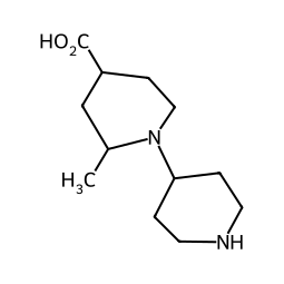 CC1CC(C(=O)O)CCN1C1CCNCC1